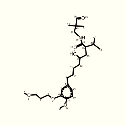 COCCCOc1cc(CCCCC(O)CC(C(=O)NCC(C)(C)C=O)C(C)C)ccc1OC